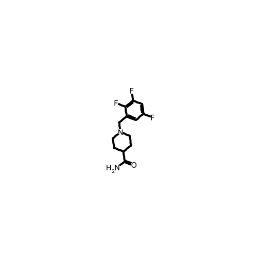 NC(=O)C1CCN(Cc2cc(F)cc(F)c2F)CC1